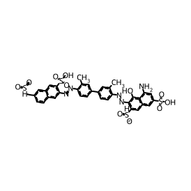 Cc1cc(-c2ccc(N=Nc3c([SH](=O)=O)cc4cc(S(=O)(=O)O)cc(N)c4c3O)c(C)c2)ccc1N=Nc1cc2ccc(C[SH](=O)=O)cc2cc1S(=O)(=O)O